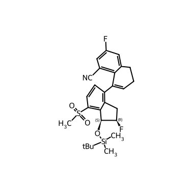 CC(C)(C)[Si](C)(C)O[C@H]1c2c(S(C)(=O)=O)ccc(C3=CCCc4cc(F)cc(C#N)c43)c2C[C@H]1F